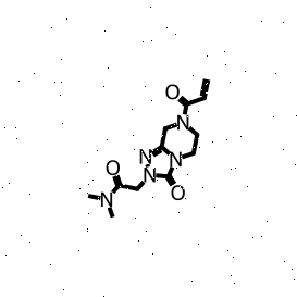 C=CC(=O)N1CCn2c(nn(CC(=O)N(C)C)c2=O)C1